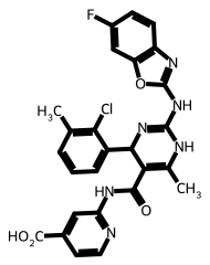 CC1=C(C(=O)Nc2cc(C(=O)O)ccn2)C(c2cccc(C)c2Cl)N=C(Nc2nc3ccc(F)cc3o2)N1